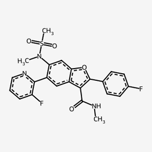 CNC(=O)c1c(-c2ccc(F)cc2)oc2cc(N(C)S(C)(=O)=O)c(-c3ncccc3F)cc12